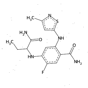 CCC(Nc1cc(Nc2cc(C)ns2)c(C(N)=O)cc1F)C(N)=O